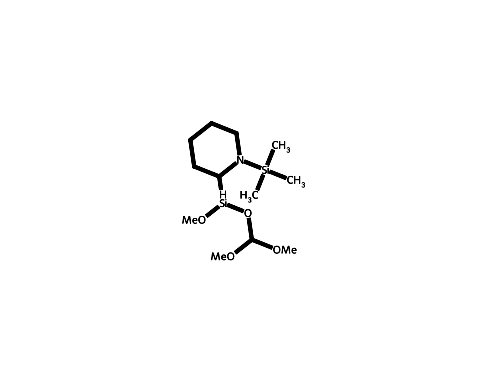 COC(OC)O[SiH](OC)C1CCCCN1[Si](C)(C)C